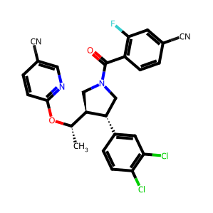 C[C@H](Oc1ccc(C#N)cn1)[C@H]1CN(C(=O)c2ccc(C#N)cc2F)C[C@@H]1c1ccc(Cl)c(Cl)c1